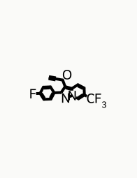 C#CC(=O)c1c(-c2ccc(F)cc2)nn2cc(C(F)(F)F)ccc12